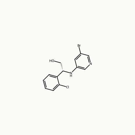 OC[C@H](Nc1cncc(Br)c1)c1ccccc1Cl